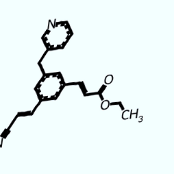 CCOC(=O)/C=C/c1cc(C=CC#N)cc(Cc2cccnc2)c1